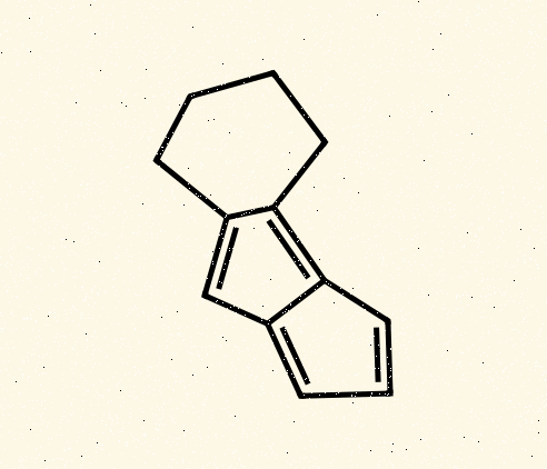 C1=CC2=C3CCCCC3=CC2=C1